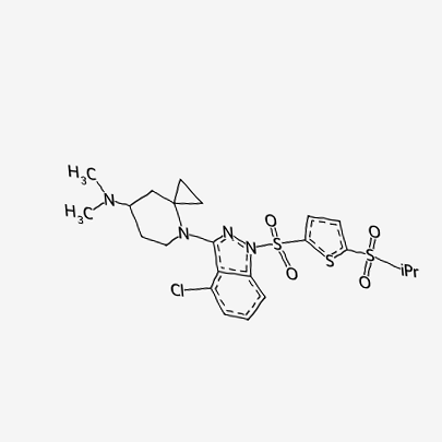 CC(C)S(=O)(=O)c1ccc(S(=O)(=O)n2nc(N3CCC(N(C)C)CC34CC4)c3c(Cl)cccc32)s1